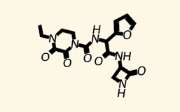 CCN1CCN(C(=O)NC(C(=O)NC2CNC2=O)c2ccco2)C(=O)C1=O